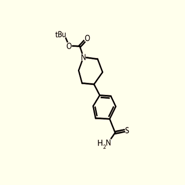 CC(C)(C)OC(=O)N1CCC(c2ccc(C(N)=S)cc2)CC1